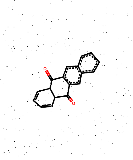 O=C1c2cc3ccccc3cc2C(=O)C2C=CC=CC12